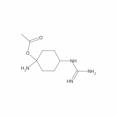 CC(=O)OC1(N)CCC(NC(=N)N)CC1